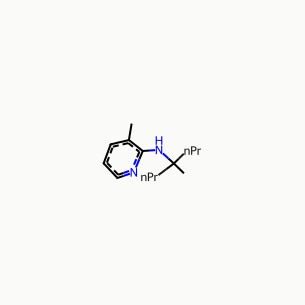 CCCC(C)(CCC)Nc1ncccc1C